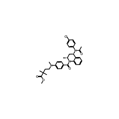 COC(=O)C(C)(C)CCN(C)c1ccc(C(=O)N2c3ccccc3[C@H](N(C(C)=O)c3ccc(Cl)cc3)C[C@@H]2C)cc1